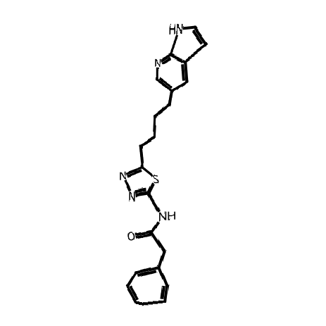 O=C(Cc1ccccc1)Nc1nnc(CCCCc2cnc3[nH]ccc3c2)s1